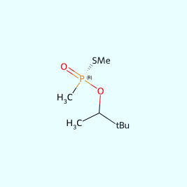 CS[P@](C)(=O)OC(C)C(C)(C)C